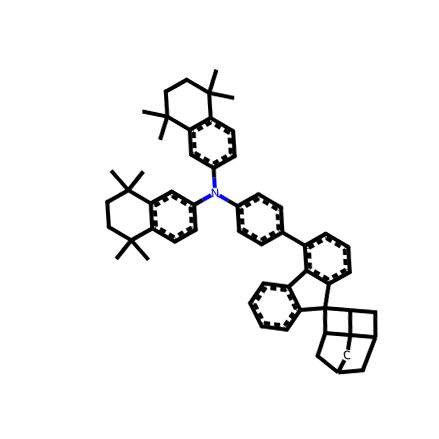 CC1(C)CCC(C)(C)c2cc(N(c3ccc(-c4cccc5c4-c4ccccc4C54C5CC6CC7CC4C75C6)cc3)c3ccc4c(c3)C(C)(C)CCC4(C)C)ccc21